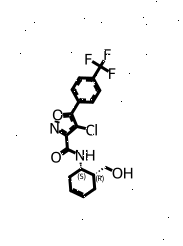 O=C(N[C@H]1CC=CC[C@H]1CO)c1noc(-c2ccc(C(F)(F)F)cc2)c1Cl